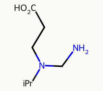 CC(C)N(CN)CCC(=O)O